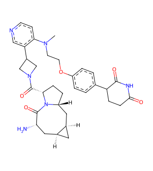 CN(CCOc1ccc(C2CCC(=O)NC2=O)cc1)c1ccncc1C1CN(C(=O)[C@@H]2CC[C@@H]3C[C@H]4C[C@H]4C[C@H](N)C(=O)N32)C1